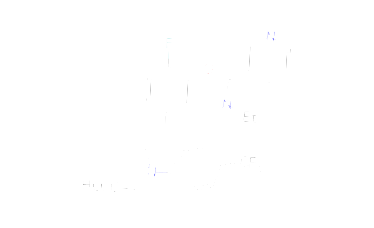 CCN(Cc1cc(F)ccc1-c1cn(CC(=O)O)c2ccc(C(F)(F)F)cc12)C(=O)c1cccnc1